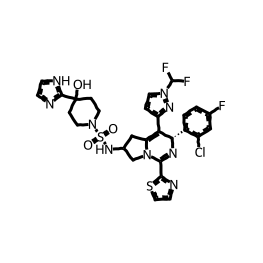 O=S(=O)(NC1CC2=C(c3ccn(C(F)F)n3)[C@H](c3ccc(F)cc3Cl)N=C(c3nccs3)N2C1)N1CCC(O)(c2ncc[nH]2)CC1